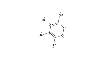 CC(=O)C1=C(O)C(O)=C(O)[CH]O1